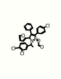 CC(c1ccc(Cl)c(Cl)c1)N1C(c2ccco2)C(c2ccccc2)=C(c2ccc(Cl)cc2)N1OC=O